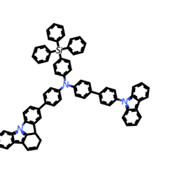 C1=Cc2c3n(c4ccccc24)-c2ccc(-c4ccc(N(c5ccc(-c6ccc(-n7c8ccccc8c8ccccc87)cc6)cc5)c5ccc([Si](c6ccccc6)(c6ccccc6)c6ccccc6)cc5)cc4)cc2C3C1